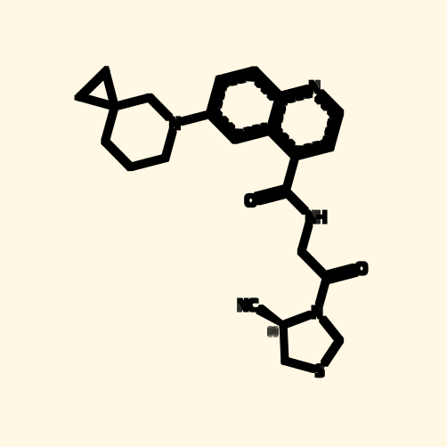 N#C[C@@H]1CSCN1C(=O)CNC(=O)c1ccnc2ccc(N3CCCC4(CC4)C3)cc12